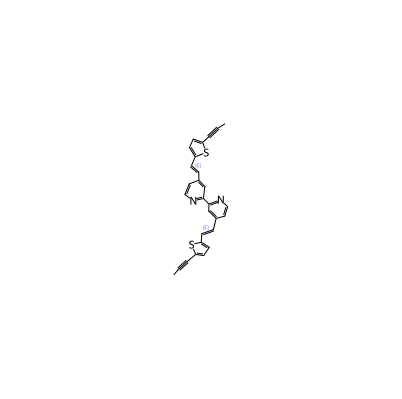 CC#Cc1ccc(/C=C/c2ccnc(-c3cc(/C=C/c4ccc(C#CC)s4)ccn3)c2)s1